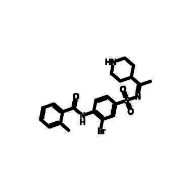 C/C(=N/S(=O)(=O)c1ccc(NC(=O)c2ccccc2C)c(Br)c1)C1CCNCC1